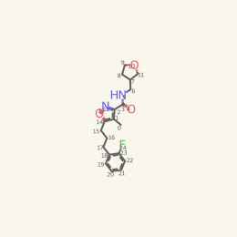 Cc1c(C(=O)NCC2CCOC2)noc1CCCc1ccccc1F